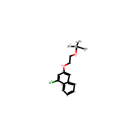 CC(C)[Si](OCCOc1cc(Br)c2ccccc2c1)(C(C)C)C(C)C